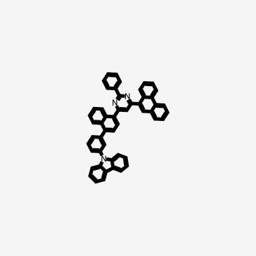 c1ccc(-c2nc(-c3ccc(-c4cccc(-n5c6ccccc6c6ccccc65)c4)c4ccccc34)cc(-c3cc4ccccc4c4ccccc34)n2)cc1